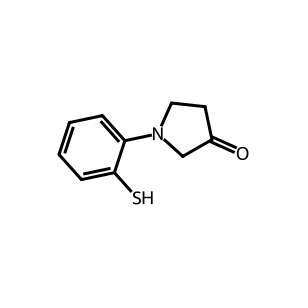 O=C1CCN(c2ccccc2S)C1